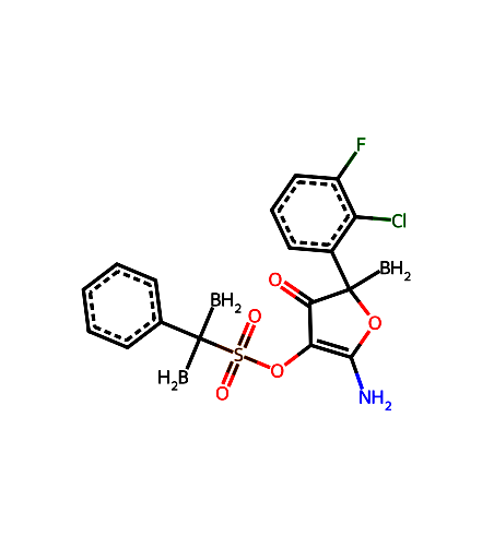 BC1(c2cccc(F)c2Cl)OC(N)=C(OS(=O)(=O)C(B)(B)c2ccccc2)C1=O